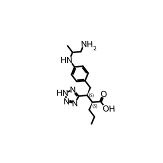 CCC[C@H](C(=O)O)[C@H](Cc1ccc(NC(C)CN)cc1)c1nn[nH]n1